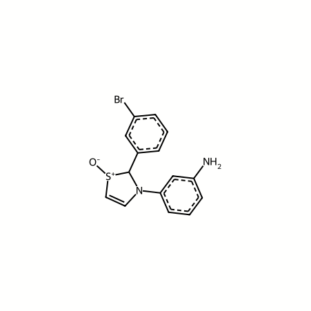 Nc1cccc(N2C=C[S+]([O-])C2c2cccc(Br)c2)c1